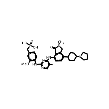 COc1cc(CP(=O)(O)O)ccc1Nc1ncc(Cl)c(Nc2ccc(C3CCC(N4CCCC4)CC3)c3c2C(=O)N(C)C3)n1